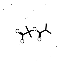 CC(C)C(=O)OC(C)(C)C([O])=O